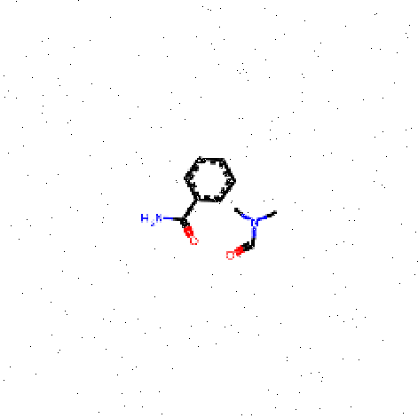 CN(C)C=O.NC(=O)c1ccccc1